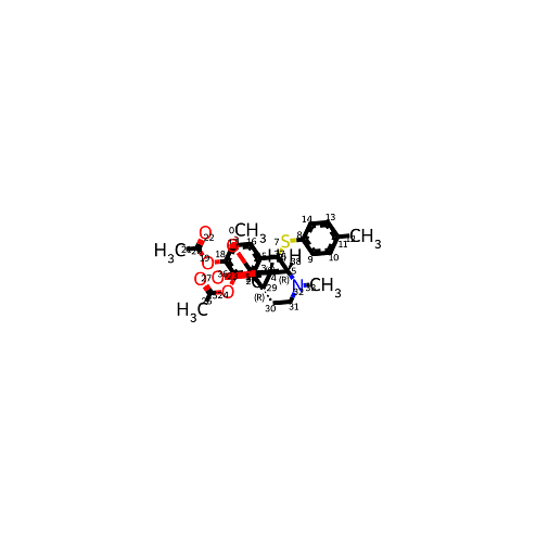 COC1=C[C@@H]2[C@@H]3[C@H](Sc4ccc(C)cc4)c4ccc(OC(C)=O)c(OC(C)=O)c4[C@]2(CCN3C)CC1=O